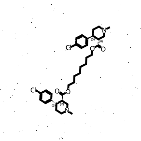 CN1CC[C@H](c2ccc(Cl)cc2)[C@@H](C(=O)OCCCCCCCCOC(=O)[C@H]2CN(C)CC[C@@H]2c2ccc(Cl)cc2)C1